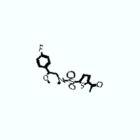 COC(CN(C)S(=O)(=O)c1ccc(C(C)=O)s1)c1ccc(F)cc1